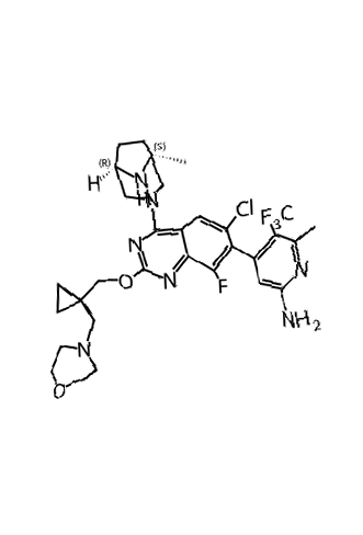 Cc1nc(N)cc(-c2c(Cl)cc3c(N4C[C@H]5CC[C@@](C)(C4)N5)nc(OCC4(CN5CCOCC5)CC4)nc3c2F)c1C(F)(F)F